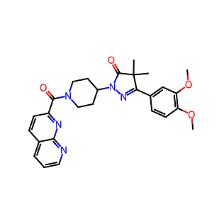 COc1ccc(C2=NN(C3CCN(C(=O)c4ccc5cccnc5n4)CC3)C(=O)C2(C)C)cc1OC